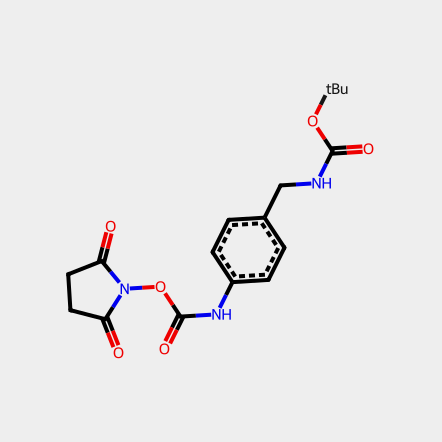 CC(C)(C)OC(=O)NCc1ccc(NC(=O)ON2C(=O)CCC2=O)cc1